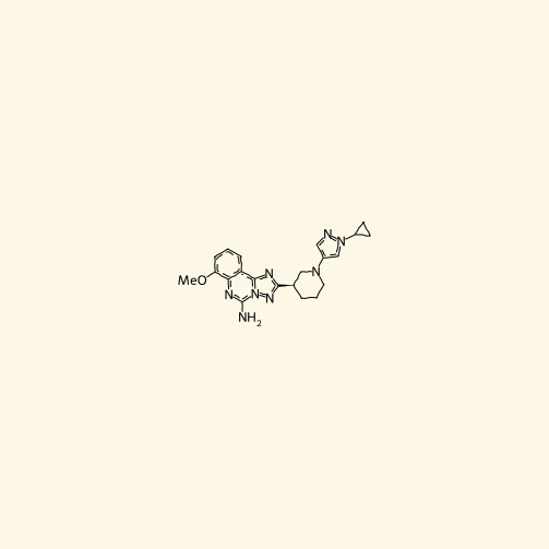 COc1cccc2c1nc(N)n1nc([C@@H]3CCCN(c4cnn(C5CC5)c4)C3)nc21